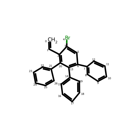 C=Cc1c(Br)cc(-c2ccccc2)c(-c2ccccc2)c1-c1ccccc1